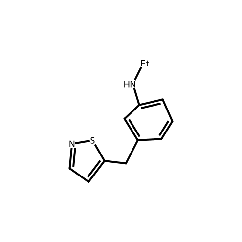 CCNc1cccc(Cc2ccns2)c1